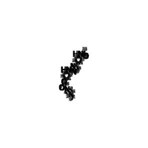 CCN1CCN(C(=O)COc2ccc(Nc3nccc(-c4ccc(NC(C)=O)cc4)n3)cc2)CC1